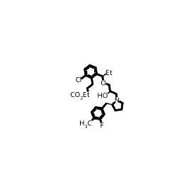 CCOC(=O)CCc1c(Cl)cccc1[C@@H](CC)OC[C@H](O)CN1CCC[C@H]1Cc1ccc(C)c(F)c1